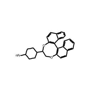 CCCC1CCC(C2COc3ccc4ccccc4c3-c3c(ccc4ccccc34)O2)CC1